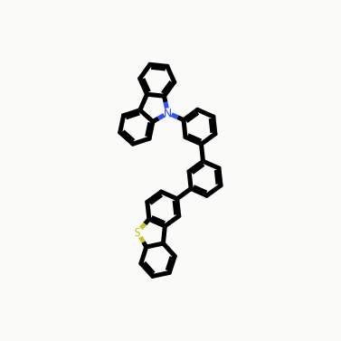 C1=CC2Sc3ccc(-c4cccc(-c5cccc(-n6c7ccccc7c7ccccc76)c5)c4)cc3C2C=C1